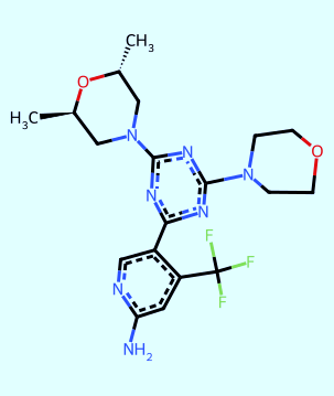 C[C@@H]1CN(c2nc(-c3cnc(N)cc3C(F)(F)F)nc(N3CCOCC3)n2)C[C@@H](C)O1